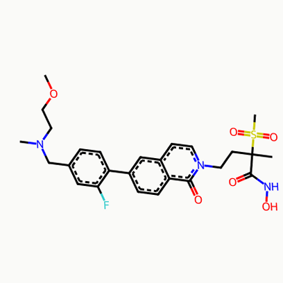 COCCN(C)Cc1ccc(-c2ccc3c(=O)n(CCC(C)(C(=O)NO)S(C)(=O)=O)ccc3c2)c(F)c1